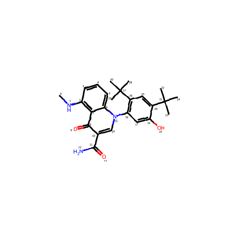 CNc1cccc2c1c(=O)c(C(N)=O)cn2-c1cc(O)c(C(C)(C)C)cc1C(C)(C)C